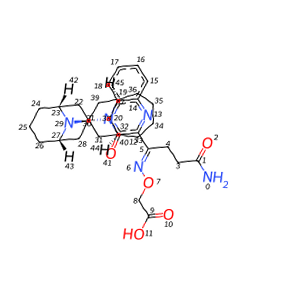 NC(=O)CC/C(=N\OCC(=O)O)c1nc2ccccc2n([C@H]2C[C@H]3CCC[C@@H](C2)N3[C@@H]2C[C@@H]3CCCC[C@@H](C3)C2)c1=O